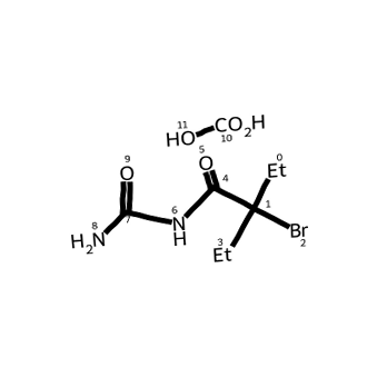 CCC(Br)(CC)C(=O)NC(N)=O.O=C(O)O